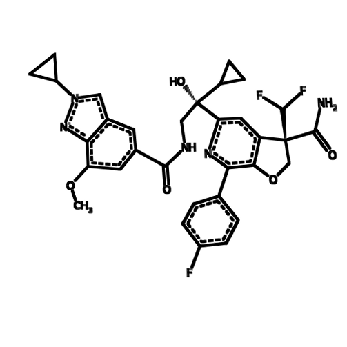 COc1cc(C(=O)NC[C@](O)(c2cc3c(c(-c4ccc(F)cc4)n2)OC[C@]3(C(N)=O)C(F)F)C2CC2)cc2cn(C3CC3)nc12